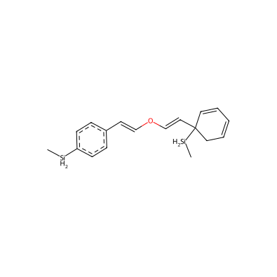 C[SiH2]c1ccc(C=COC=CC2([SiH2]C)C=CC=CC2)cc1